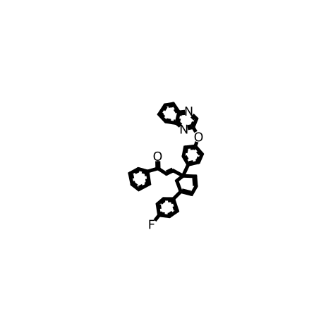 O=C(C=CC1(c2ccc(Oc3cnc4ccccc4n3)cc2)C=CC=C(c2ccc(F)cc2)C1)c1ccccc1